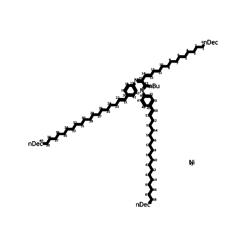 CCCCCCCCCCCCCCCCCCCCCCC=CC(=Nc1ccc(C=CCCCCCCCCCCCCCCCCCCCCCCCCCCC)cc1)C(CCCC)=Nc1ccc(C=CCCCCCCCCCCCCCCCCCCCCCCCCCCC)cc1.[Ni]